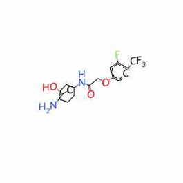 NC12CCC(NC(=O)COc3ccc(C(F)(F)F)c(F)c3)(CC1)CC2O